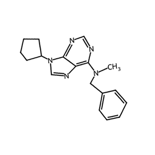 CN(Cc1ccccc1)c1ncnc2c1ncn2C1CCCC1